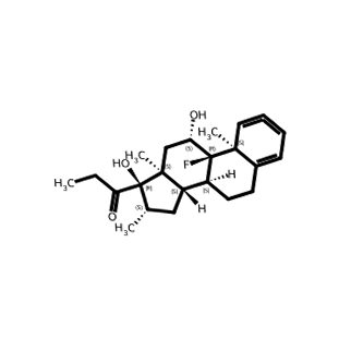 CCC(=O)[C@@]1(O)[C@@H](C)C[C@H]2[C@@H]3CCC4=CC=C=C[C@]4(C)[C@@]3(F)[C@@H](O)C[C@@]21C